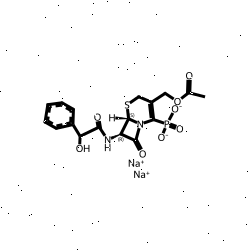 CC(=O)OCC1=C(P(=O)([O-])[O-])N2C(=O)[C@@H](NC(=O)C(O)c3ccccc3)[C@@H]2SC1.[Na+].[Na+]